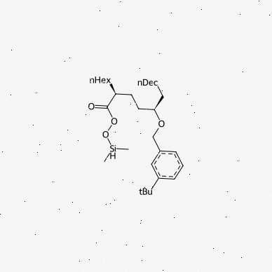 CCCCCCCCCCC[C@H](CC[C@H](CCCCCC)C(=O)OO[SiH](C)C)OCc1cccc(C(C)(C)C)c1